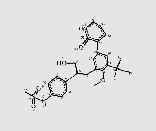 COc1c(CC(CO)c2ccc(NS(C)(=O)=O)cc2)cc(-c2ccc[nH]c2=O)cc1C(C)(C)C